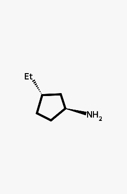 CC[C@H]1CC[C@H](N)C1